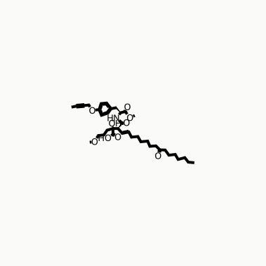 CC#CCOc1ccc(C[C@H](NC(=O)[C@@H](/C=C/CCCCCCC(=O)CCCCCCC)[C@@](O)(CCCOC)C(=O)O)C(=O)OC)cc1